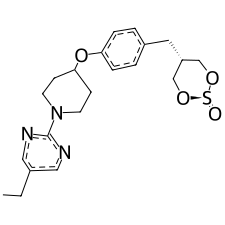 CCc1cnc(N2CCC(Oc3ccc(C[C@H]4CO[S@](=O)OC4)cc3)CC2)nc1